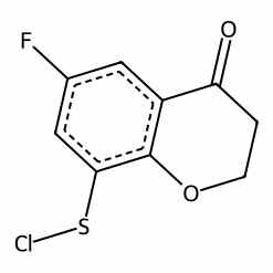 O=C1CCOc2c(SCl)cc(F)cc21